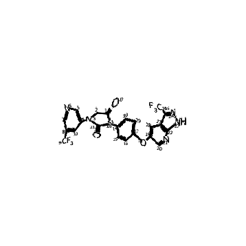 O=C1CN(c2cncc(C(F)(F)F)c2)C(=O)N1c1ccc(Oc2cnc3[nH]nc(C(F)(F)F)c3c2)cc1